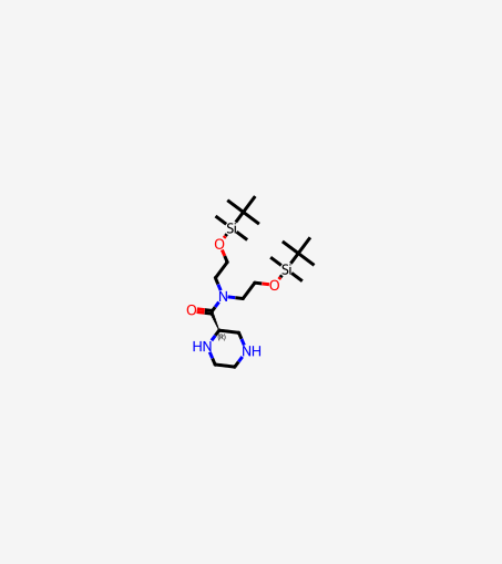 CC(C)(C)[Si](C)(C)OCCN(CCO[Si](C)(C)C(C)(C)C)C(=O)[C@H]1CNCCN1